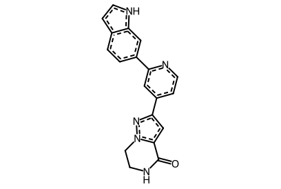 O=C1NCCn2nc(-c3ccnc(-c4ccc5cc[nH]c5c4)c3)cc21